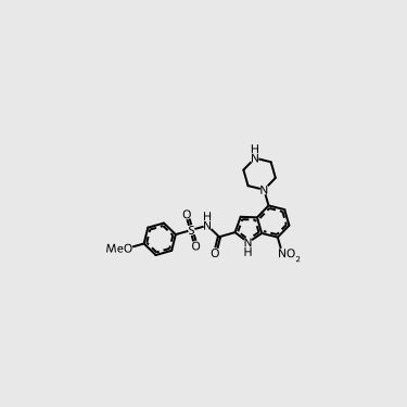 COc1ccc(S(=O)(=O)NC(=O)c2cc3c(N4CCNCC4)ccc([N+](=O)[O-])c3[nH]2)cc1